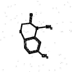 Cc1ccc2c(c1)N(N)C(=O)CS2